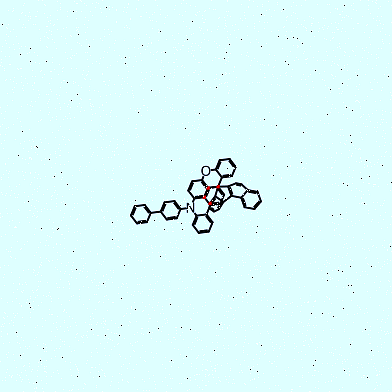 c1ccc(-c2ccc(N(c3ccc4c(c3)C3(c5ccccc5O4)c4ccccc4-c4c3ccc3ccccc43)c3ccccc3-c3ccccc3)cc2)cc1